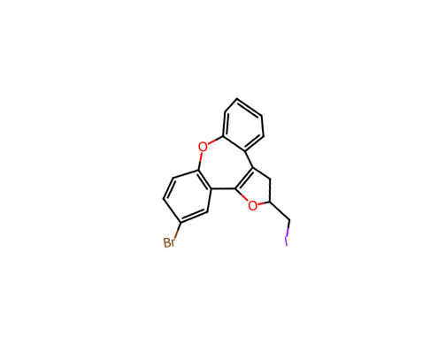 Brc1ccc2c(c1)C1=C(CC(CI)O1)c1ccccc1O2